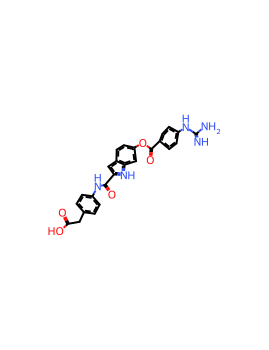 N=C(N)Nc1ccc(C(=O)Oc2ccc3cc(C(=O)Nc4ccc(CC(=O)O)cc4)[nH]c3c2)cc1